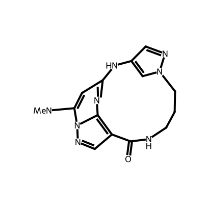 CNc1cc2nc3c(cnn13)C(=O)NCCCn1cc(cn1)N2